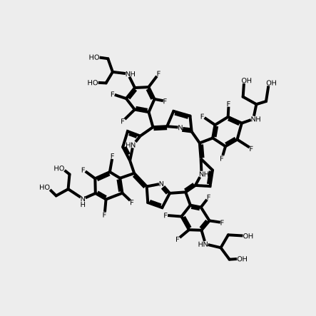 OCC(CO)Nc1c(F)c(F)c(-c2c3nc(c(-c4c(F)c(F)c(NC(CO)CO)c(F)c4F)c4ccc([nH]4)c(-c4c(F)c(F)c(NC(CO)CO)c(F)c4F)c4nc(c(-c5c(F)c(F)c(NC(CO)CO)c(F)c5F)c5ccc2[nH]5)C=C4)C=C3)c(F)c1F